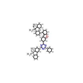 CC1(C)c2ccccc2-c2cc(-c3nc(-c4ccccc4)nc(-c4ccc5c(c4)oc4cccc(-c6cccc7c6-c6ccccc6C7(C)C)c45)n3)ccc21